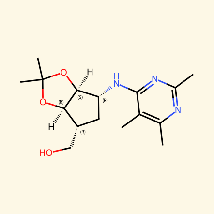 Cc1nc(C)c(C)c(N[C@@H]2C[C@H](CO)[C@H]3OC(C)(C)O[C@H]32)n1